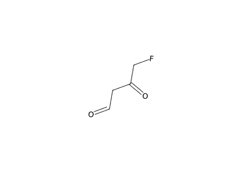 O=CCC(=O)CF